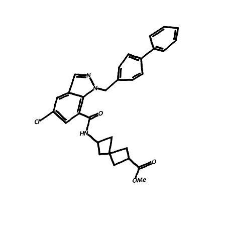 COC(=O)C1CC2(CC(NC(=O)c3cc(Cl)cc4cnn(Cc5ccc(-c6ccccc6)cc5)c34)C2)C1